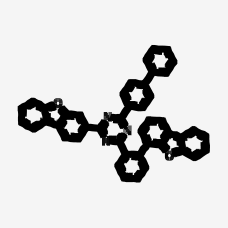 c1ccc(-c2ccc(-c3nc(-c4ccc5c(c4)oc4ccccc45)nc(-c4ccccc4-c4cccc5c4oc4ccccc45)n3)cc2)cc1